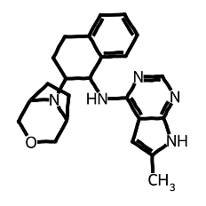 Cc1cc2c(NC3c4ccccc4CCC3N3C4CCC3COC4)ncnc2[nH]1